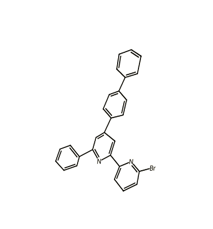 Brc1cccc(-c2cc(-c3ccc(-c4ccccc4)cc3)cc(-c3ccccc3)n2)n1